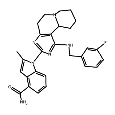 Cc1cc2c(C(N)=O)cccc2n1-c1nc2c(c(NCc3cccc(F)c3)n1)C1CCCCN1CC2